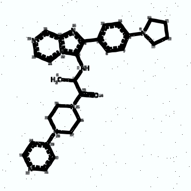 CC(Nc1c(-c2ccc(N3CCCC3)cc2)nc2cnccn12)C(=O)N1CCN(c2ccncc2)CC1